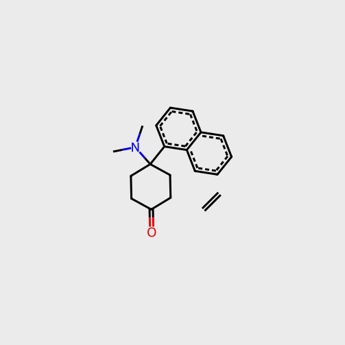 C=C.CN(C)C1(c2cccc3ccccc23)CCC(=O)CC1